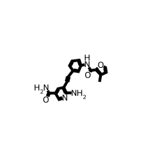 Cc1ccoc1C(=O)Nc1cccc(C#Cc2cc(C(N)=O)cnc2N)c1